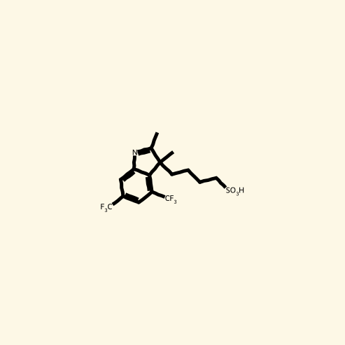 CC1=Nc2cc(C(F)(F)F)cc(C(F)(F)F)c2C1(C)CCCCS(=O)(=O)O